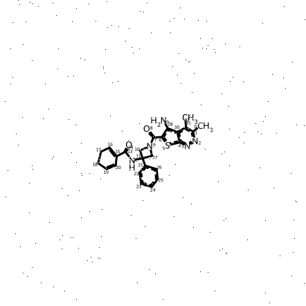 Cc1nnc2sc(C(=O)N3CC(NC(=O)C4=CCCC=C4)(c4ccccc4)C3)c(N)c2c1C